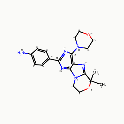 CC1(C)OCCn2c1nc1c(N3CCOCC3)nc(-c3ccc(N)cc3)nc12